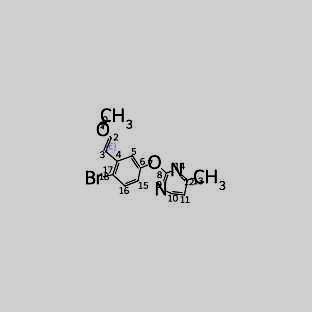 CO/C=C/c1cc(Oc2nccc(C)n2)ccc1Br